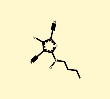 CCCC[S+]([O-])c1sc(C#N)c(Br)c1C#N